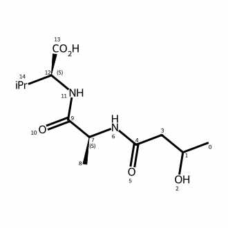 CC(O)CC(=O)N[C@@H](C)C(=O)N[C@H](C(=O)O)C(C)C